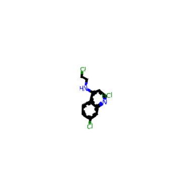 Cl.ClCCNc1ccnc2cc(Cl)ccc12